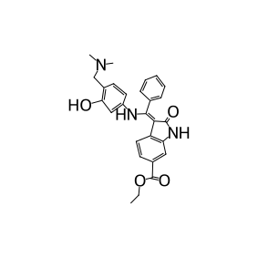 CCOC(=O)c1ccc2c(c1)NC(=O)C2=C(Nc1ccc(CN(C)C)c(O)c1)c1ccccc1